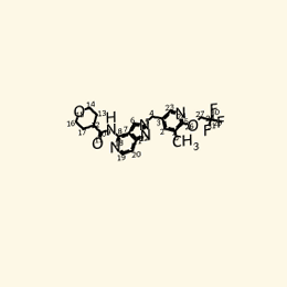 Cc1cc(Cn2cc3c(NC(=O)C4CCOCC4)nccc3n2)cnc1OCC(F)(F)F